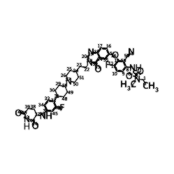 CCN(C)S(=O)(=O)Nc1ccc(F)c(Oc2ccc3ncn(CCC4CCN(C5CCC(c6ccc(NC7CCC(=O)NC7=O)cc6F)CC5)CC4)c(=O)c3c2)c1C#N